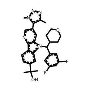 Cc1nnn(C)c1-c1cnc2c3ccc(C(C)(C)O)cc3n(C(c3cc(F)cc(F)c3)C3CCOCC3)c2c1